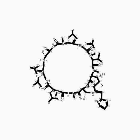 CC(C)C[C@@H]1C(=O)N[C@H](CC(C)C)C(=O)N(C)C(C(C)C)C(=O)N(C)C([C@H](O)[C@H](C)C/C=C/c2ncccn2)C(=O)NC([C@@H](C)O)C(=O)N(C)CC(=O)N(C)[C@@H](CC(C)C)C(=O)N[C@H](CC(C)C)N(C)[C@H](CC(C)C)N[C@H](C)C(=O)OC(=O)N1C